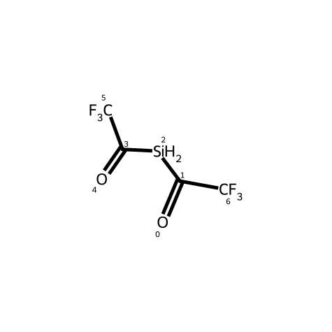 O=C([SiH2]C(=O)C(F)(F)F)C(F)(F)F